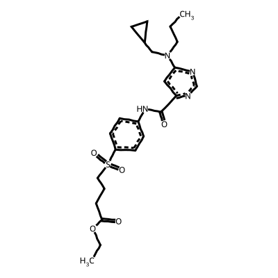 CCCN(CC1CC1)c1cc(C(=O)Nc2ccc(S(=O)(=O)CCCC(=O)OCC)cc2)ncn1